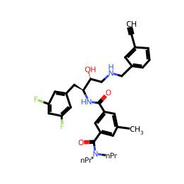 C#Cc1cccc(CNC[C@@H](O)[C@H](Cc2cc(F)cc(F)c2)NC(=O)c2cc(C)cc(C(=O)N(CCC)CCC)c2)c1